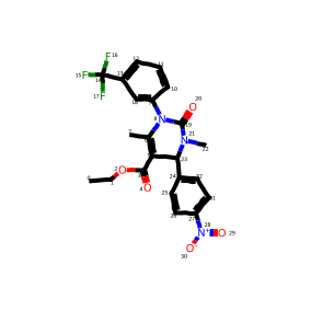 CCOC(=O)C1=C(C)N(c2cccc(C(F)(F)F)c2)C(=O)N(C)C1c1ccc([N+](=O)[O-])cc1